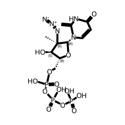 C=C1NC(=O)C=CN1[C@@H]1O[C@H](COP(=O)(O)OP(=O)(O)OP(=O)(O)O)[C@@H](O)[C@@]1(C)N=[N+]=[N-]